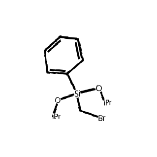 CC(C)O[Si](CBr)(OC(C)C)c1ccccc1